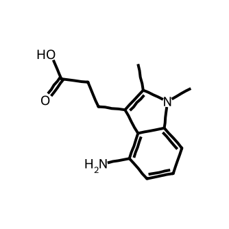 Cc1c(CCC(=O)O)c2c(N)cccc2n1C